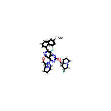 COc1ccc2c(-c3nc4c5c(nc(OC[C@@]67CCCN6C[C@H](F)C7)nc5c3F)N3CC5CCC(N5)C3CO4)cccc2c1